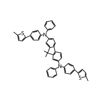 Cc1ccc(-c2ccc(N(c3ccccc3)c3ccc4c(c3)C(C)(C)c3cc(N(c5ccccc5)c5ccc(-c6ccc(C)s6)cc5)ccc3-4)cc2)s1